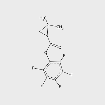 CC1(C)CC1C(=O)Oc1c(F)c(F)c(F)c(F)c1F